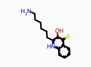 NCCCCCCc1[nH]c2ccccc2c(=S)c1O